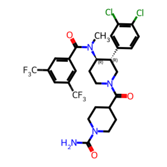 CN(C(=O)c1cc(C(F)(F)F)cc(C(F)(F)F)c1)[C@@H]1CCN(C(=O)C2CCN(C(N)=O)CC2)C[C@H]1c1ccc(Cl)c(Cl)c1